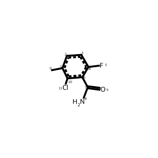 Cc1ccc(F)c(C(N)=O)c1Cl